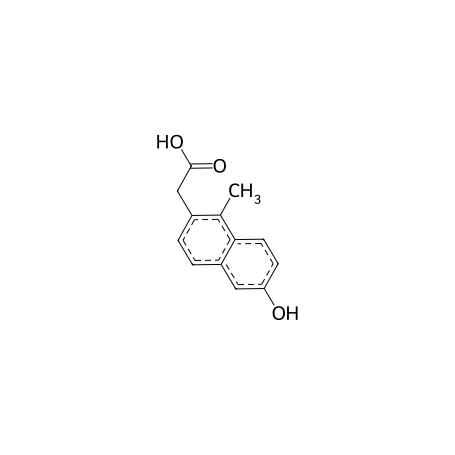 Cc1c(CC(=O)O)ccc2cc(O)ccc12